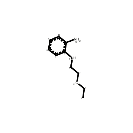 CCOCCNc1ccccc1N